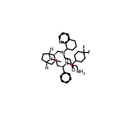 CN1C[C@@H]2CC[C@H]([C@H]1CN(CCCCN)C1CCCc3cccnc31)N2CC[C@@H](NC(=O)C1CCC(F)(F)CC1)c1ccccc1